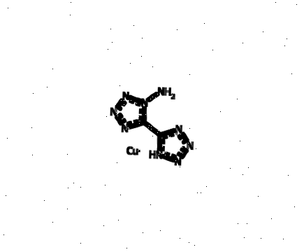 Nn1nnnc1-c1nnn[nH]1.[Cu]